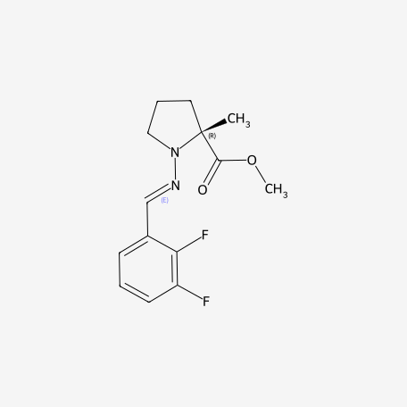 COC(=O)[C@@]1(C)CCCN1/N=C/c1cccc(F)c1F